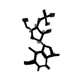 Cn1c(=O)c2c(n([C@@H]3O[C@H](CO)[C@@H](OP(=O)(O)O)[C@H]3O)c[n+]2C)n(C)c1=O